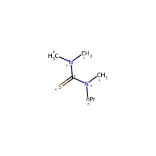 CCCN(C)C(=S)N(C)C